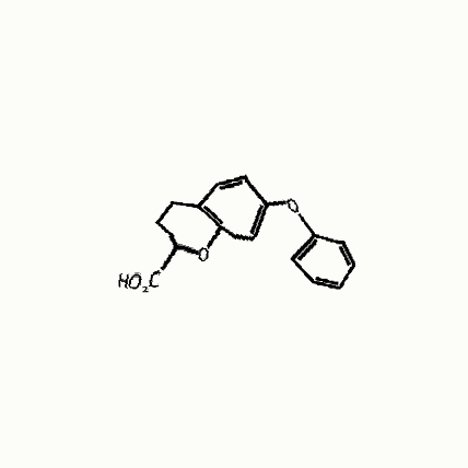 O=C(O)C1CCc2ccc(Oc3ccccc3)cc2O1